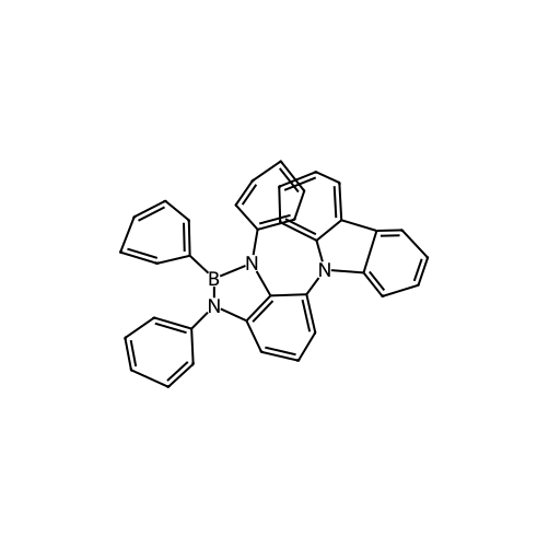 c1ccc(B2N(c3ccccc3)c3cccc(-n4c5ccccc5c5ccccc54)c3N2c2ccccc2)cc1